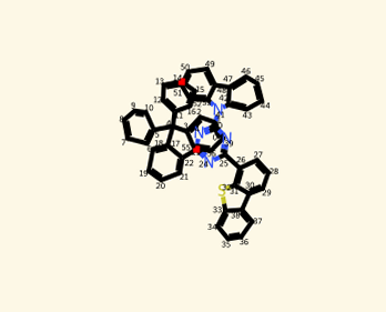 c1ccc(C(c2ccccc2)(c2ccccc2)c2ccccc2-c2nc(-c3cccc4c3sc3ccccc34)nc(-n3c4ccccc4c4ccccc43)n2)cc1